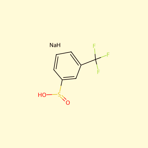 O=S(O)c1cccc(C(F)(F)F)c1.[NaH]